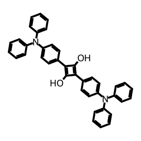 OC1=C(c2ccc(N(c3ccccc3)c3ccccc3)cc2)C(O)=C1c1ccc(N(c2ccccc2)c2ccccc2)cc1